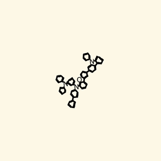 c1ccc(-c2ccc(N(c3cccc(N(c4ccccc4)c4ccccc4)c3)c3cccc4c3oc3ccc(-c5ccc6c7ccccc7n(-c7ccccc7)c6c5)cc34)cc2)cc1